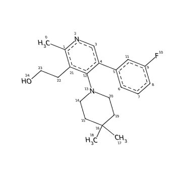 Cc1ncc(-c2cccc(F)c2)c(N2CCC(C)(C)CC2)c1CCO